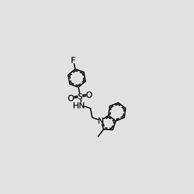 Cc1cc2ccccc2n1CCNS(=O)(=O)c1ccc(F)cc1